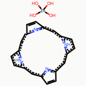 C1=Cc2cc3ccc(cc4nc(cc5ccc(cc1n2)[nH]5)C=C4)[nH]3.[OH][Zn]([OH])([OH])[OH]